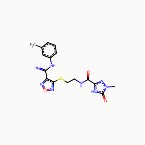 Cn1nc(C(=O)NCCSc2nonc2C(=N)Nc2cccc(C(F)(F)F)c2)[nH]c1=O